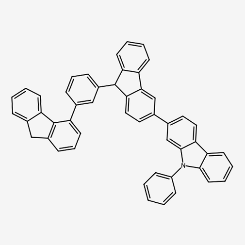 c1ccc(-n2c3ccccc3c3ccc(-c4ccc5c(c4)-c4ccccc4C5c4cccc(-c5cccc6c5-c5ccccc5C6)c4)cc32)cc1